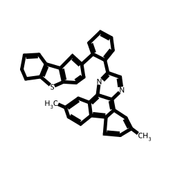 Cc1ccc2c3ccc(C)cc3c3nc(-c4ccccc4-c4ccc5sc6c(c5c4)C=CCC6)cnc3c2c1